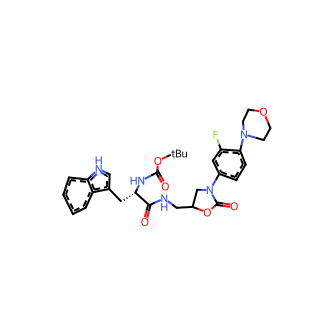 CC(C)(C)OC(=O)N[C@@H](Cc1c[nH]c2ccccc12)C(=O)NCC1CN(c2ccc(N3CCOCC3)c(F)c2)C(=O)O1